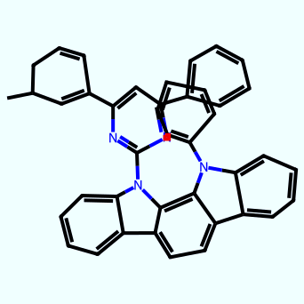 CC1C=C(c2cc(-c3ccccc3)nc(-n3c4ccccc4c4ccc5c6ccccc6n(-c6ccccc6)c5c43)n2)C=CC1